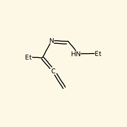 C=C=C(CC)/N=C\NCC